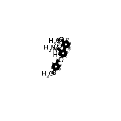 COc1ccc(COc2ccc(-c3cc(OC)ccc3F)c(C(=O)NN)c2)cc1